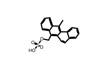 Cc1c2ccccc2c(COS(=O)(=O)O)c2ccc3ccccc3c12